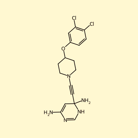 NC1=CC(N)(C#CN2CCC(Oc3ccc(Cl)c(Cl)c3)CC2)NC=N1